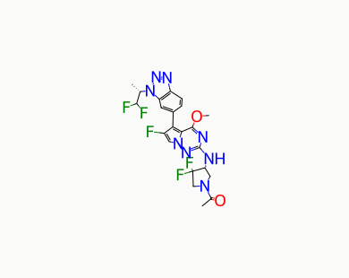 COc1nc(N[C@@H]2CN(C(C)=O)CC2(F)F)nn2cc(F)c(-c3ccc4nnn([C@@H](C)C(F)F)c4c3)c12